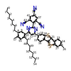 CCCCCCCCc1cc(-c2cc(-c3ccc4c(c3)sc3c5ccc(C)cc5sc43)nc(-c3c(C#N)cc(C#N)cc3C#N)n2)c(CCCCCCCC)cc1C